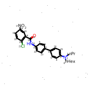 CCCCCCN(CCC)c1ccc(-c2ccc(NC(=O)c3cc([N+](=O)[O-])ccc3Cl)cc2)cc1